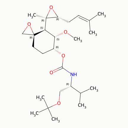 CO[C@@H]1[C@H](OC(=O)N[C@@H](COC(C)(C)C)C(C)C)CC[C@]2(CO2)[C@H]1[C@@]1(C)O[C@@H]1CC=C(C)C